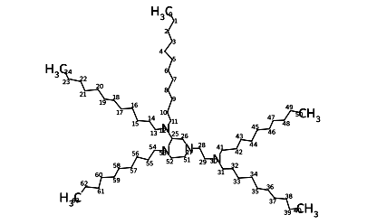 CCCCCCCCCCCCN(CCCCCCCCCCCC)C1CN(CCN(CCCCCCCCCC)CCCCCCCCCC)CCN1CCCCCCCCCC